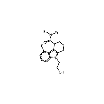 CCN(CC)C(=O)C1CCCc2c1c1c(F)cccc1n2CCO